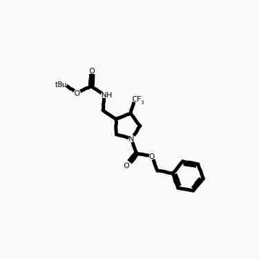 CC(C)(C)OC(=O)NCC1CN(C(=O)OCc2ccccc2)CC1C(F)(F)F